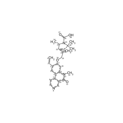 C=Cc1cc2c3ccncc3c(=O)n(C)c2cc1OCC(C)CC(C)N(C(=O)O)C(C)(C)C